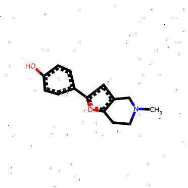 CN1CCc2oc(-c3ccc(O)cc3)cc2C1